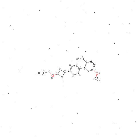 COc1ccc(OC(F)(F)F)cc1-c1ccc(C2CC(OCC(=O)O)C2)cc1